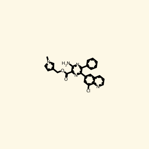 Cn1ccc(COC(=O)c2nc(-c3cc(Cl)c4ncccc4c3)c(-c3ccccc3)nc2N)c1